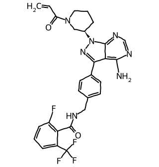 C=CC(=O)N1CCC[C@@H](n2nc(-c3ccc(CNC(=O)c4c(F)cccc4C(F)(F)F)cc3)c3c(N)ncnc32)C1